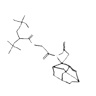 CC(C)(C)CC(C(=O)OCC(=O)N1C(=O)CC12C1CC3CC(C1)CC2C3)C(C)(C)C